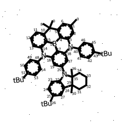 Cc1cc2c3c(c1)C(C)(C)c1cccc4c1B3c1c(cc(N3c5ccc(C(C)(C)C)cc5C5(C)CCCCC35C)cc1N2c1ccc(C(C)(C)C)cc1)N4c1ccc(C(C)(C)C)cc1